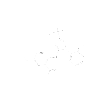 CCc1ccc(Nc2cc(C(C)(C)C)nn2-c2ccccc2C)c(C(=O)O)c1